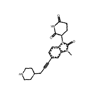 Cn1c(=O)n(C2CCC(=O)NC2=O)c2ccc(C#CCC3CCNCC3)cc21